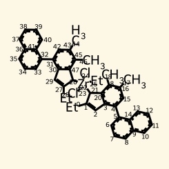 CCC1=Cc2c(-c3cccc4ccccc34)cc(C)c(C)c2[CH]1[Zr]([Cl])([Cl])([CH2]C)[CH]1C(CC)=Cc2c(-c3cccc4ccccc34)cc(C)c(C)c21